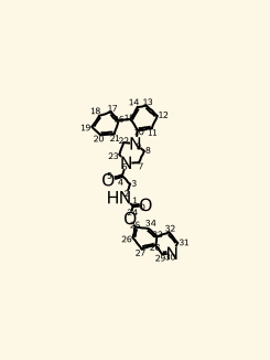 O=C(NCC(=O)N1CCN(c2ccccc2-c2ccccc2)CC1)Oc1ccc2cnccc2c1